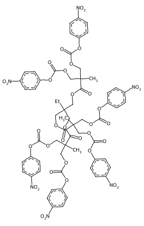 CCC(COC(=O)C(C)(COC(=O)Oc1ccc([N+](=O)[O-])cc1)COC(=O)Oc1ccc([N+](=O)[O-])cc1)(COC(=O)C(C)(COC(=O)Oc1ccc([N+](=O)[O-])cc1)COC(=O)Oc1ccc([N+](=O)[O-])cc1)COC(=O)C(C)(COC(=O)Oc1ccc([N+](=O)[O-])cc1)COC(=O)Oc1ccc([N+](=O)[O-])cc1